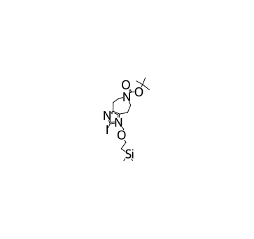 CC(C)(C)OC(=O)N1CCc2nc(I)n(COCC[Si](C)(C)C)c2CC1